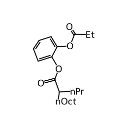 CCCCCCCCC(CCC)C(=O)Oc1ccccc1OC(=O)CC